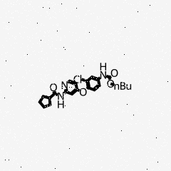 CCCCOC(=O)Nc1ccc(Oc2ccnc(NC(=O)C3CCCC3)c2)c(Cl)c1